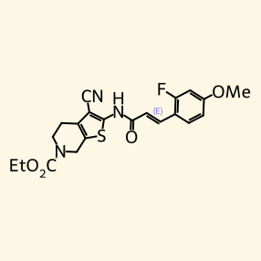 CCOC(=O)N1CCc2c(sc(NC(=O)/C=C/c3ccc(OC)cc3F)c2C#N)C1